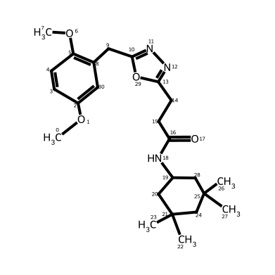 COc1ccc(OC)c(Cc2nnc(CCC(=O)NC3CC(C)(C)CC(C)(C)C3)o2)c1